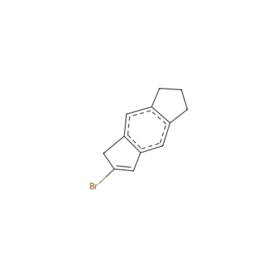 BrC1=Cc2cc3c(cc2C1)CCC3